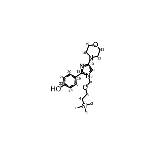 C[Si](C)(C)CCOCn1cc(N2CCOCC2)nc1-c1ccc(O)cc1